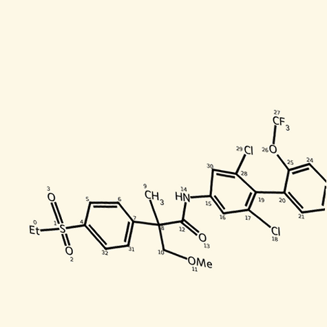 CCS(=O)(=O)c1ccc(C(C)(COC)C(=O)Nc2cc(Cl)c(-c3ccccc3OC(F)(F)F)c(Cl)c2)cc1